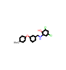 COc1ccc(Oc2cccc(CNc3cc(Cl)cc(Cl)c3O)c2)cc1